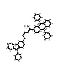 N/C(=C\C=C/Cc1ccc2c(c1)c1cnccc1n2-c1ccccc1)c1ccc2c(-c3ccccc3)c3ccccc3c(-c3ccccc3)c2c1